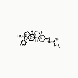 C[C@]12CCC(=NNC(=N)N)C[C@@H]1CC[C@@H]1[C@@H]2CC[C@]2(C)[C@@](O)(c3ccoc3)CC[C@]12O